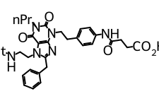 CCCn1c(=O)c2c(nc(Cc3ccccc3)n2CCNCC)n(CCc2ccc(NC(=O)CCC(=O)O)cc2)c1=O